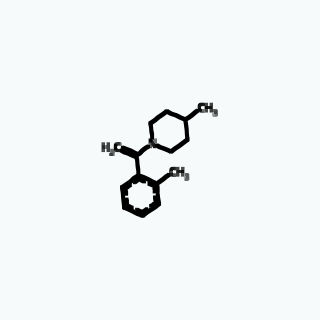 C=C(c1ccccc1C)N1CCC(C)CC1